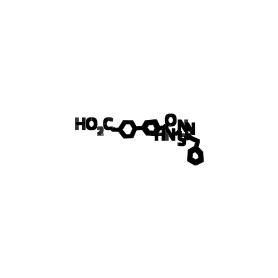 O=C(O)CC1CCC(c2ccc(C(=O)Nc3nnc(Cc4ccccc4)s3)cc2)CC1